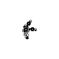 COc1ccc(COC2C(OCc3ccc(OC)cc3)[C@H]3N=C(N(C)C(=O)OC(C)(C)C)S[C@H]3O[C@@H]2C(C)=O)cc1